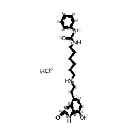 Cl.O=C(NCCCCCCNCCc1ccc(O)c2[nH]c(=O)sc12)Nc1ccccc1